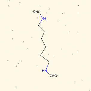 O=[C]NCCCCCCN[C]=O